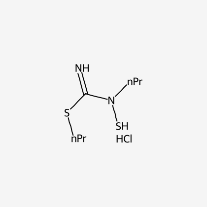 CCCSC(=N)N(S)CCC.Cl